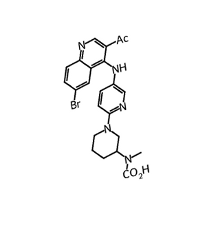 CC(=O)c1cnc2ccc(Br)cc2c1Nc1ccc(N2CCCC(N(C)C(=O)O)C2)nc1